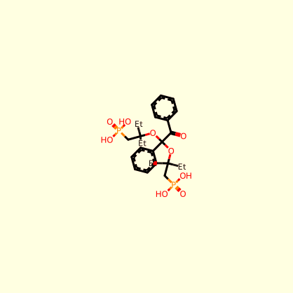 CCC(CC)(CP(=O)(O)O)OC(OC(CC)(CC)CP(=O)(O)O)(C(=O)c1ccccc1)c1ccccc1